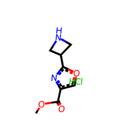 COC(=O)c1coc(C2CNC2)n1.Cl